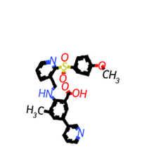 COc1ccc(S(=O)(=O)c2ncccc2CNc2c(C)cc(-c3cccnc3)cc2C(=O)O)cc1